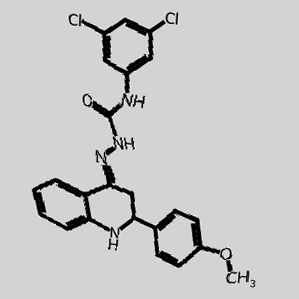 COc1ccc(C2CC(=NNC(=O)Nc3cc(Cl)cc(Cl)c3)c3ccccc3N2)cc1